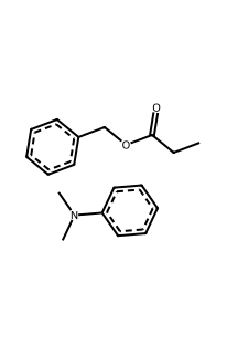 CCC(=O)OCc1ccccc1.CN(C)c1ccccc1